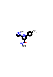 CC(C)n1nccc1-c1cc(C(=O)NC(C)(C)C)cc(-c2ccc(C(F)(F)F)cc2)n1